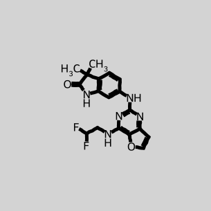 CC1(C)C(=O)Nc2cc(Nc3nc(NCC(F)F)c4occc4n3)ccc21